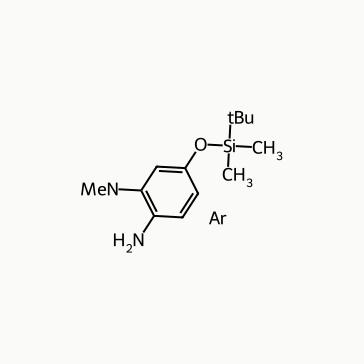 CNc1cc(O[Si](C)(C)C(C)(C)C)ccc1N.[Ar]